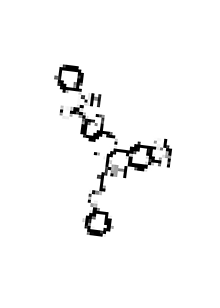 C[C@@H](NCCOc1ccccc1)[C@H](Cc1ccc(C(=O)Nc2ccccc2)o1)c1ccc2c(c1)OCO2